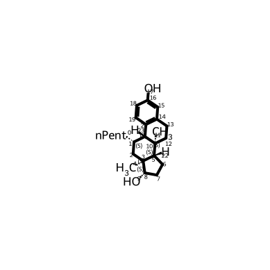 CCCCC[C@H]1C[C@@]2(C)[C@@H](CC[C@@H]2O)[C@]2(C)CCc3cc(O)ccc3[C@@H]12